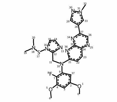 COc1cc(OC)c(F)c(N(Cc2nccn2SN(C)C)c2ccc3ncc(-c4cnn(C)c4)nc3n2)c1